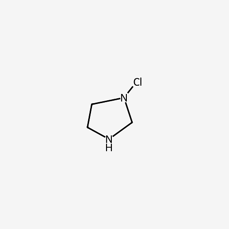 ClN1CCNC1